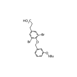 CCCCOc1cccc(COc2c(Br)cc(CCC(=O)O)cc2Br)c1